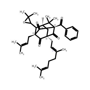 CC(C)=CCC/C(C)=C/C[C@@]12C[C@H]3C(C4OC4(C)C)[C@@](CC=C(C)C)(C1=O)C(=O)[C@@](C(=O)c1ccccc1)(C2=O)C3(C)C